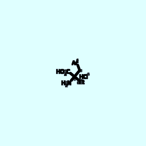 CCC(N)(CC(C)=O)C(=O)O.Cl